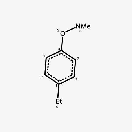 CCc1ccc(ONC)cc1